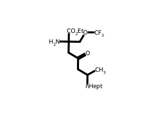 CCCCCCCC(C)CC(=O)CC(N)(COC(F)(F)F)C(=O)OCC